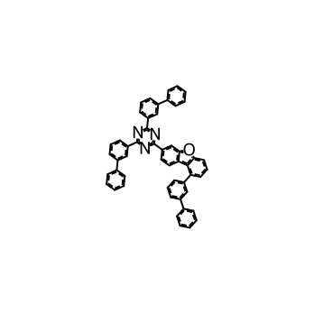 c1ccc(-c2cccc(-c3nc(-c4cccc(-c5ccccc5)c4)nc(-c4ccc5c(c4)oc4cccc(-c6cccc(-c7ccccc7)c6)c45)n3)c2)cc1